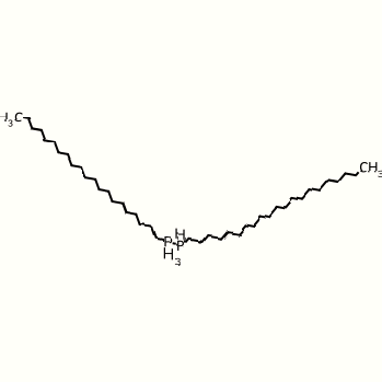 CCCCCCCCCCCCCCCCCCCCCP[PH3]CCCCCCCCCCCCCCCCCCCCC